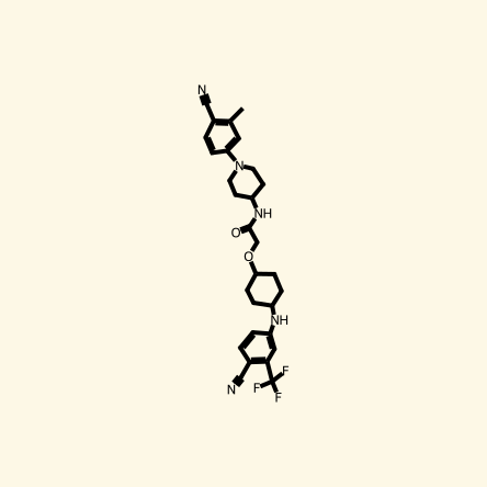 Cc1cc(N2CCC(NC(=O)COC3CCC(Nc4ccc(C#N)c(C(F)(F)F)c4)CC3)CC2)ccc1C#N